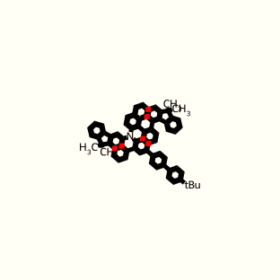 CC(C)(C)c1ccc(-c2ccc(-c3ccc(N(c4ccc5c(c4)-c4ccccc4C5(C)C)c4ccc5ccccc5c4-c4ccccc4-c4cccc5c4-c4ccccc4C5(C)C)c(-c4ccccc4)c3)cc2)cc1